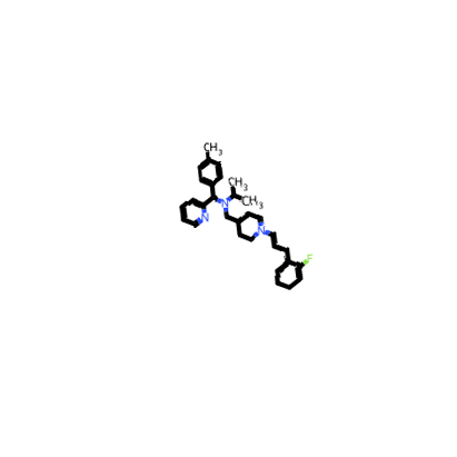 Cc1ccc(C(c2ccccn2)N(CC2CCN(CCCC3=CCCC=C3F)CC2)C(C)C)cc1